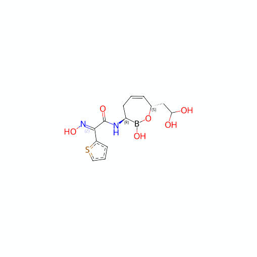 O=C(N[C@H]1CC=C[C@H](CC(O)O)OB1O)/C(=N/O)c1cccs1